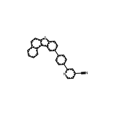 N#Cc1ccnc(-c2ccc(-c3ccc4sc5ccc6ccccc6c5c4c3)cc2)c1